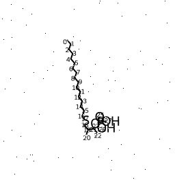 CCCCCCCCCCCCCCCCCSCC(C)C(C)OP(=O)(O)O